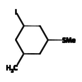 CSC1CC(C)CC(I)C1